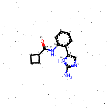 Nc1ncc(-c2ccccc2NC(=O)C2CCC2)[nH]1